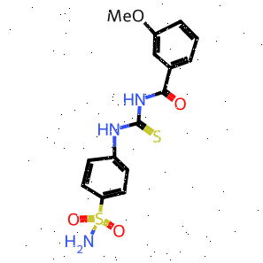 COc1cccc(C(=O)NC(=S)Nc2ccc(S(N)(=O)=O)cc2)c1